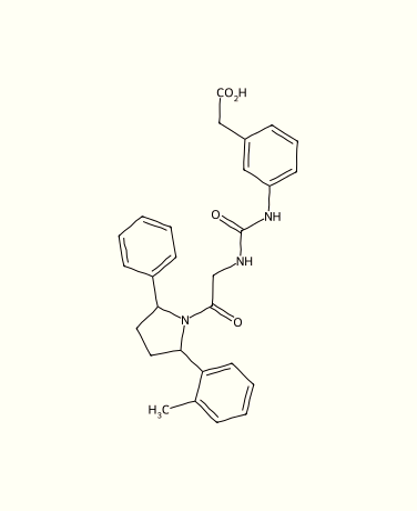 Cc1ccccc1C1CCC(c2ccccc2)N1C(=O)CNC(=O)Nc1cccc(CC(=O)O)c1